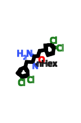 CCCCCCN=C(Cc1ccc(Cl)c(Cl)c1)C(N)C(=O)Cc1ccc(Cl)c(Cl)c1